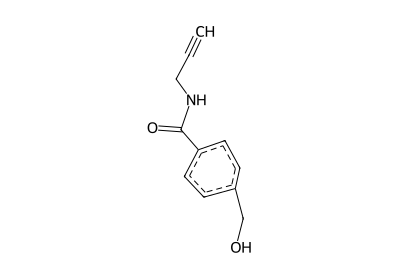 C#CCNC(=O)c1ccc(CO)cc1